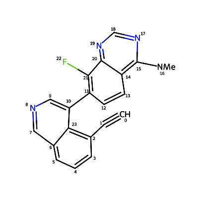 C#Cc1cccc2cncc(-c3ccc4c(NC)ncnc4c3F)c12